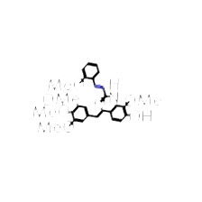 COc1ccccc1/C=C/C(=O)Nc1c(C=Cc2cc(OC)c(OC)c(OC)c2)ccc(O)c1OC